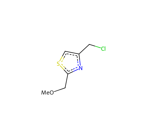 COCc1nc(CCl)cs1